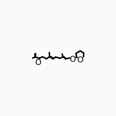 C=C(C)C(=O)CC/C(C)=C/CC/C(C)=C/COC1CCCCO1